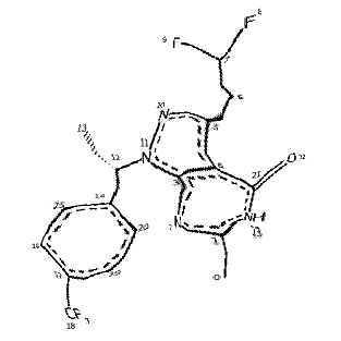 Cc1nc2c(c(CC(F)F)nn2[C@@H](C)c2ccc(C(F)(F)F)cc2)c(=O)[nH]1